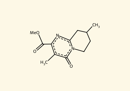 COC(=O)c1nc2n(c(=O)c1C)CCC(C)C2